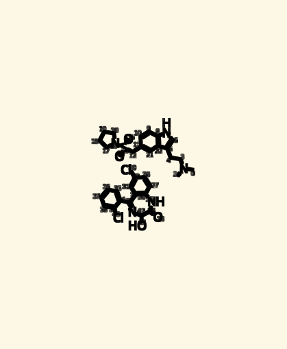 CN(C)CCc1c[nH]c2ccc(CS(=O)(=O)N3CCCC3)cc12.O=C1Nc2ccc(Cl)cc2C(c2ccccc2Cl)=NC1O